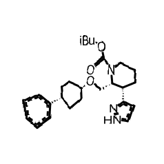 CC[C@@H](C)OC(=O)N1CCC[C@H](c2cc[nH]n2)[C@@H]1CO[C@H]1CC[C@@H](c2ccccc2)CC1